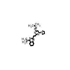 CC(C)=NOc1cc(N2CCCC2)nc(C=Cc2nc(N(C)C)c3ccccc3n2)n1